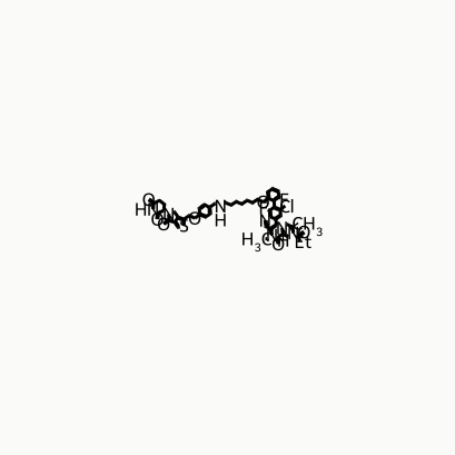 CCC(=O)N1C[C@@H]2C(=O)N(C)c3cnc4c(F)c(-c5c(F)cccc5OCCCCCCCNCc5ccc(OCc6scc7c6CN(C6CCC(=O)NC6=O)C7=O)cc5)c(Cl)cc4c3N2C[C@H]1C